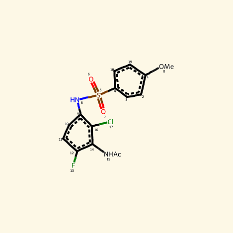 COc1ccc(S(=O)(=O)Nc2ccc(F)c(NC(C)=O)c2Cl)cc1